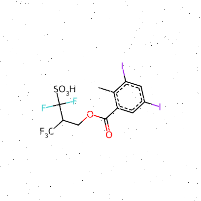 Cc1c(I)cc(I)cc1C(=O)OCC(C(F)(F)F)C(F)(F)S(=O)(=O)O